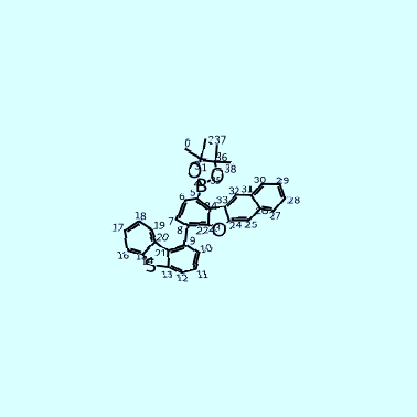 CC1(C)OB(c2ccc(-c3cccc4sc5ccccc5c34)c3oc4cc5ccccc5cc4c23)OC1(C)C